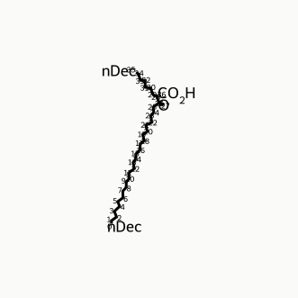 CCCCCCCCCCCCCCCCCCCCCCCCCCCCCCCCCCCC(=O)C(CCCCCCCCCCCCCCCC)C(=O)O